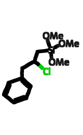 CO[Si](CC(Cl)Cc1ccccc1)(OC)OC